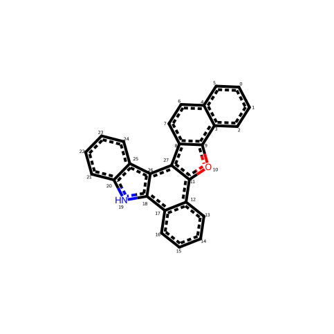 c1ccc2c(c1)ccc1c2oc2c3ccccc3c3[nH]c4ccccc4c3c12